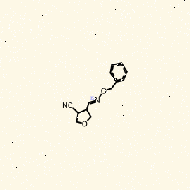 N#CC1COCC1/C=N/OCc1ccccc1